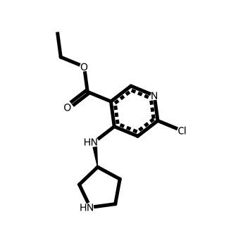 CCOC(=O)c1cnc(Cl)cc1N[C@H]1CCNC1